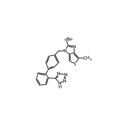 CCCCc1nc2c(C)scc2n1Cc1ccc(-c2ccccc2-c2nnn[nH]2)cc1